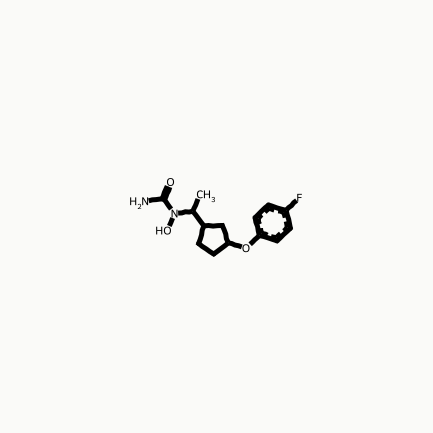 CC(C1CCC(Oc2ccc(F)cc2)C1)N(O)C(N)=O